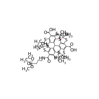 CO[Si](CCCNC(=O)c1c2c(c(C(c3c4c(c(C(=O)O)c5c3SC(C)(C)S5)SC(C)(C)S4)c3c4c(c(C(=O)O)c5c3SC(C)(C)S5)SC(C)(C)S4)c3c1SC(C)(C)S3)SC(C)(C)S2)(OC)OC